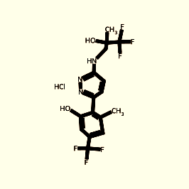 Cc1cc(C(F)(F)F)cc(O)c1-c1ccc(NCC(C)(O)C(F)(F)F)nn1.Cl